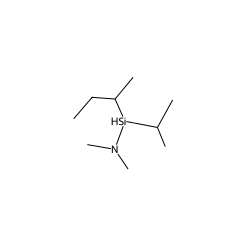 CCC(C)[SiH](C(C)C)N(C)C